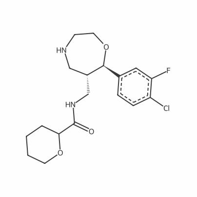 O=C(NC[C@@H]1CNCCO[C@H]1c1ccc(Cl)c(F)c1)C1CCCCO1